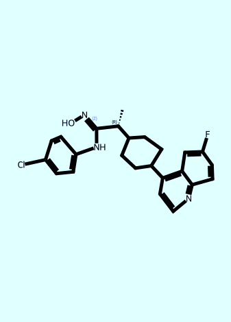 C[C@@H](/C(=N/O)Nc1ccc(Cl)cc1)C1CCC(c2ccnc3ccc(F)cc23)CC1